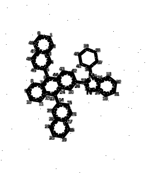 c1ccc2cc(-c3c4ccccc4c(-c4ccc5ccccc5c4)c4cc(-c5nc6ccccc6n5C5CCCCC5)ccc34)ccc2c1